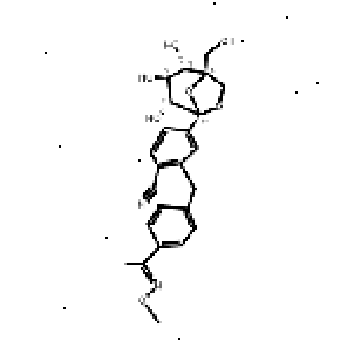 CON=C(C)c1ccc(Cc2cc([C@]34OC[C@](CO)(O3)[C@@H](O)[C@H](O)[C@H]4O)ccc2C#N)cc1